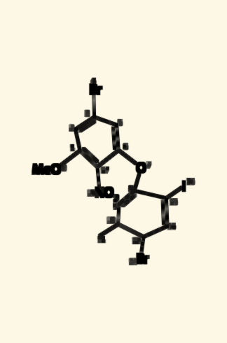 COc1cc(Br)cc(OC2=CC(C)C(Br)C=C2I)c1[N+](=O)[O-]